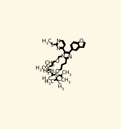 CSc1nccc(-c2c(-c3ccc4occc4c3)nc(CCCO[Si](C(C)C)(C(C)C)C(C)C)n2COCC[Si](C)(C)C)n1